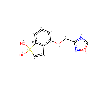 OS1(O)C=Cc2c(OCc3ncon3)cccc21